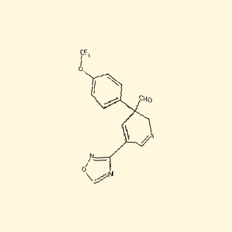 O=CC1(c2ccc(OC(F)(F)F)cc2)C=C(c2ncon2)C=NC1